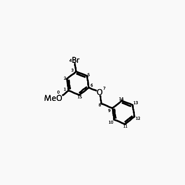 COc1cc(Br)cc(OCc2ccccc2)c1